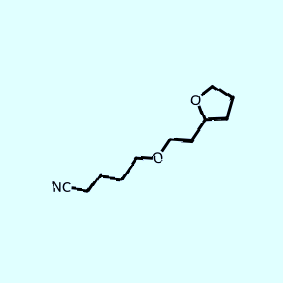 N#CCCCCOCCC1CCCO1